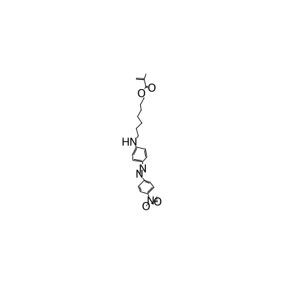 C=C(C)C(=O)OCCCCCCCNc1ccc(N=Nc2ccc([N+](=O)[O-])cc2)cc1